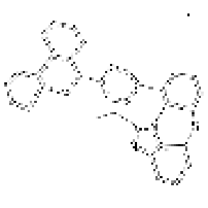 CCc1nc2cccc3c2n1-c1c(cccc1-c1ccc(-c2cc4ccccc4c4ccccc24)cc1)S3